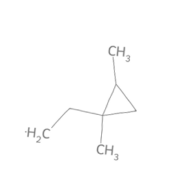 [CH2]CC1(C)CC1C